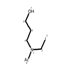 CC(=O)N(CI)CCCO